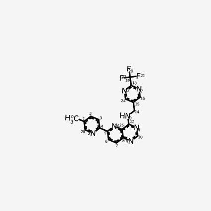 Cc1ccc(-c2ccc3ncnc(NCc4cnc(C(F)(F)F)nc4)c3n2)nc1